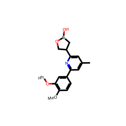 CCCOc1cc(-c2cc(C)cc(C3COB(O)C3)n2)ccc1OC